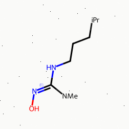 CN/C(=N\O)NCCCC(C)C